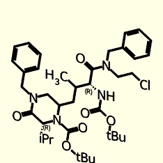 CC(CC1CN(Cc2ccccc2)C(=O)[C@@H](C(C)C)N1C(=O)OC(C)(C)C)[C@@H](NC(=O)OC(C)(C)C)C(=O)N(CCCl)Cc1ccccc1